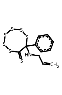 C=CCNC1(c2ccccc2)SSSSSSC1=S